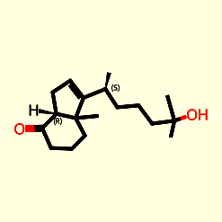 C[C@@H](CCCC(C)(C)O)C1=CC[C@H]2C(=O)CCCC12C